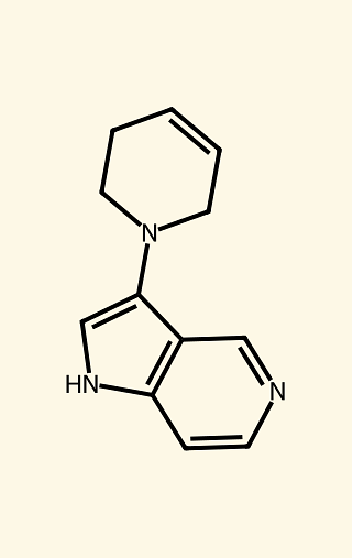 C1=CCN(c2c[nH]c3ccncc23)CC1